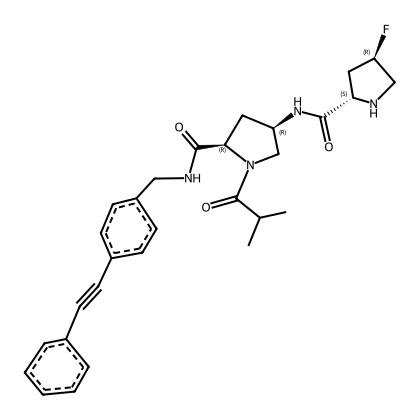 CC(C)C(=O)N1C[C@H](NC(=O)[C@@H]2C[C@@H](F)CN2)C[C@@H]1C(=O)NCc1ccc(C#Cc2ccccc2)cc1